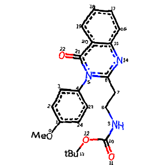 COc1ccc(-n2c(CCNC(=O)OC(C)(C)C)nc3ccccc3c2=O)cc1